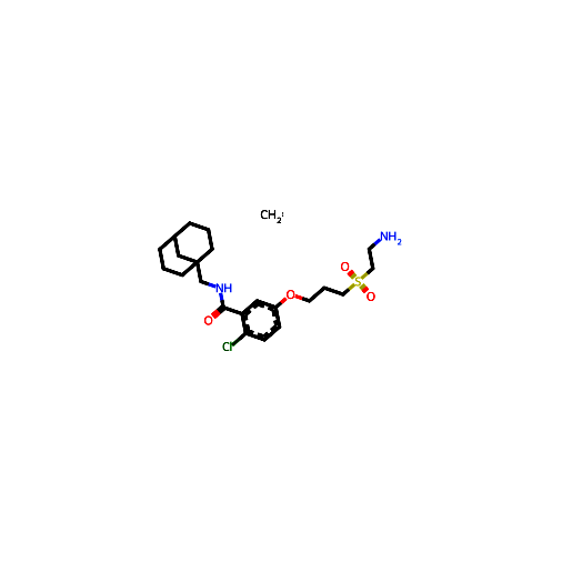 NCCS(=O)(=O)CCCOc1ccc(Cl)c(C(=O)NCC23CCCC(CCC2)C3)c1.[CH2]